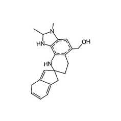 CC1Nc2c(cc(CO)c3c2NC2(C=C4CC=CC=C4C2)CC3)N1C